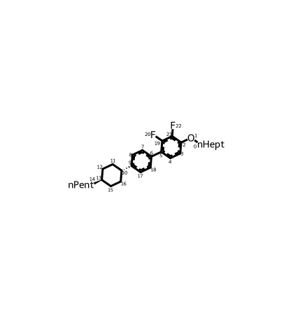 CCCCCCCOc1ccc(-c2ccc([C@H]3CC[C@H](CCCCC)CC3)cc2)c(F)c1F